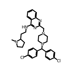 CN1CCCC1CCNc1nc(CN2CCN(C(c3ccc(Cl)cc3)c3ccc(Cl)cc3)CC2)nc2ccccc12